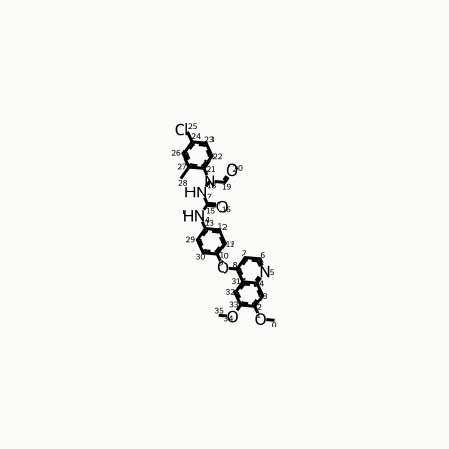 COc1cc2nccc(Oc3ccc(NC(=O)NN(C=O)c4ccc(Cl)cc4C)cc3)c2cc1OC